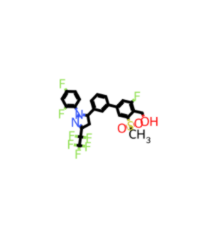 CS(=O)(=O)c1cc(-c2cccc(C3CC(C(F)(F)C(F)(F)F)=NN3c3ccc(F)cc3F)c2)cc(F)c1CO